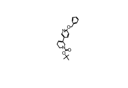 CC(C)(C)OC(=O)N1CCC=C(c2ccc(OCc3ccccc3)nc2)C1